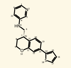 c1cncc(NC[C@H]2CCOc3cc(-c4cccs4)ccc32)c1